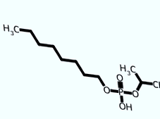 CCCCCCCCOP(=O)(O)OC(C)C